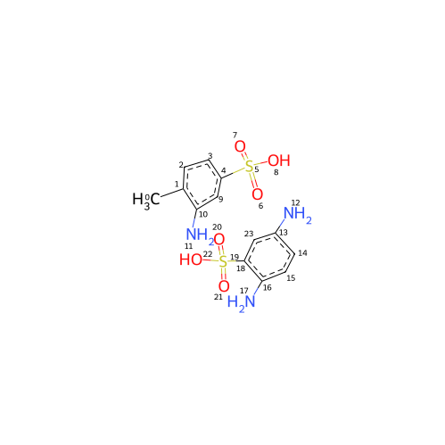 Cc1ccc(S(=O)(=O)O)cc1N.Nc1ccc(N)c(S(=O)(=O)O)c1